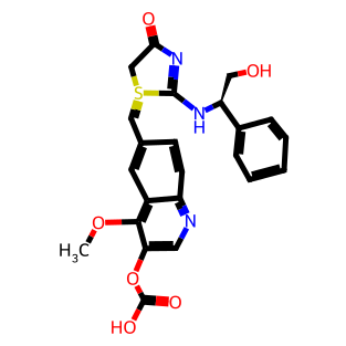 COc1c(OC(=O)O)cnc2ccc(/C=S3/CC(=O)N=C3N[C@@H](CO)c3ccccc3)cc12